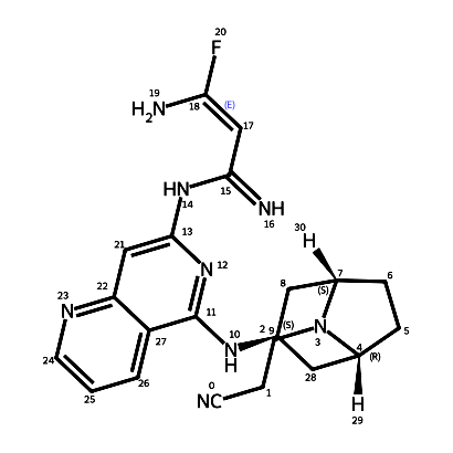 N#CCCN1[C@@H]2CC[C@H]1C[C@H](Nc1nc(NC(=N)/C=C(\N)F)cc3ncccc13)C2